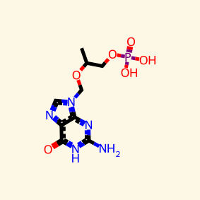 CC(COP(=O)(O)O)OCn1cnc2c(=O)[nH]c(N)nc21